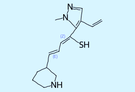 C=Cc1cnn(C)c1/C(S)=C/C=C/C1CCCNC1